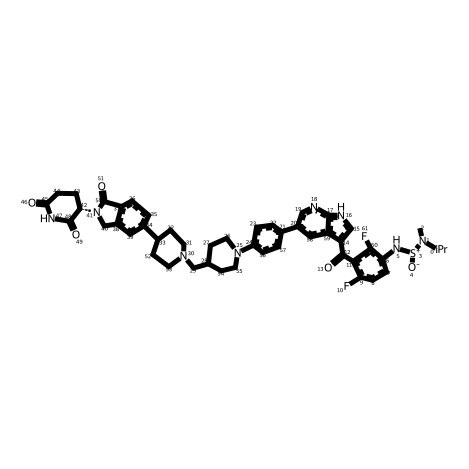 CC(C)N(C)[S+]([O-])Nc1ccc(F)c(C(=O)c2c[nH]c3ncc(-c4ccc(N5CCC(CN6CCC(c7ccc8c(c7)CN([C@H]7CCC(=O)NC7=O)C8=O)CC6)CC5)cc4)cc23)c1F